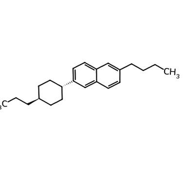 CCCCc1ccc2cc([C@H]3CC[C@H](CCC)CC3)ccc2c1